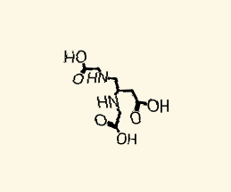 O=C(O)CNCC(CC(=O)O)NCC(=O)O